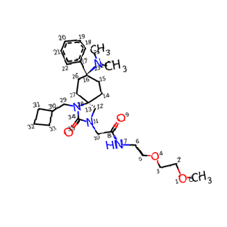 COCCOCCNC(=O)CN1C[C@]2(CC[C@](c3ccccc3)(N(C)C)CC2)N(CC2CCC2)C1=O